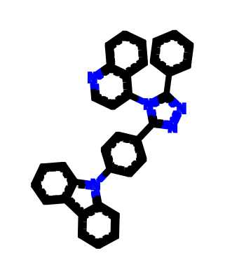 c1ccc(-c2nnc(-c3ccc(-n4c5ccccc5c5ccccc54)cc3)n2-c2ccnc3ccccc23)cc1